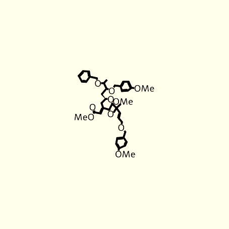 COC(=O)/C=C1\C[C@@H](CC(OCc2ccc(OC)cc2)C(C)OCc2ccccc2)O[C@@](OC)(C(C)(C)/C=C/COCc2ccc(OC)cc2)C1=O